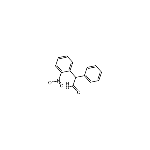 O=C(O)C(c1ccccc1)c1ccccc1[N+](=O)[O-]